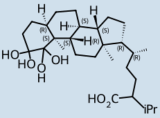 CC(C)C(CC[C@@H](C)[C@H]1CC[C@H]2[C@@H]3CC[C@@H]4CCC(O)(O)C(O)(O)[C@]4(C)[C@H]3CC[C@]12C)C(=O)O